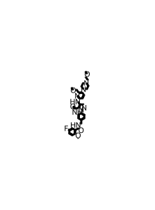 COCCN1CCN(c2ccc(Nc3cnn(-c4ccc(CNC(=O)c5cc(F)ccc5OC)cc4)c3C(N)=O)nc2COC)CC1